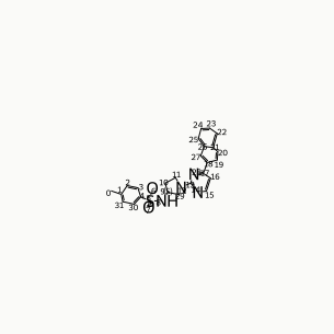 Cc1ccc(S(=O)(=O)N[C@H]2CCN(c3nccc(-c4ccc5ccccc5c4)n3)C2)cc1